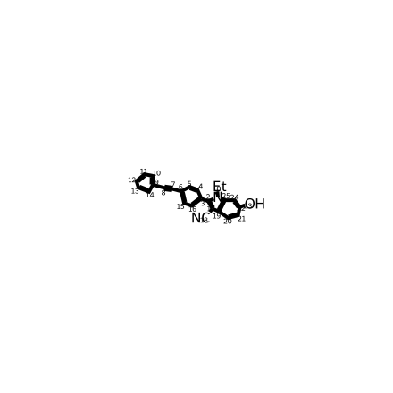 CCn1c(-c2ccc(C#Cc3ccccc3)cc2)c(C#N)c2ccc(O)cc21